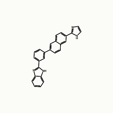 c1cc(-c2ccc3cc(-c4ncc[nH]4)ccc3c2)cc(-c2nc3ccccc3[nH]2)c1